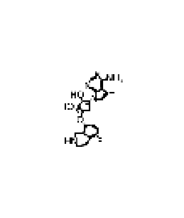 Cc1cn(C2CC(Oc3ccc(F)c4c3CNCC4)[C@@H](O)[C@H]2O)c2ncnc(N)c12